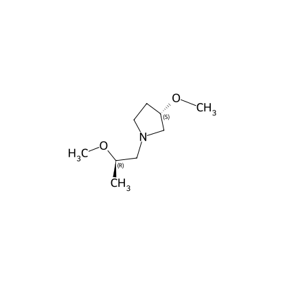 CO[C@H]1CCN(C[C@@H](C)OC)C1